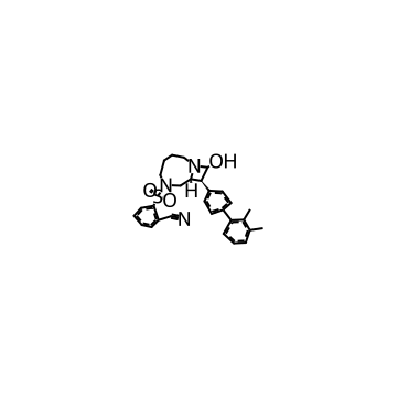 Cc1cccc(-c2ccc([C@@H]3[C@@H](O)N4CCCCN(S(=O)(=O)c5ccccc5C#N)C[C@@H]34)cc2)c1C